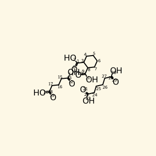 O=C(O)C1CCCCC1C(=O)O.O=C(O)CCCC(=O)O.O=C(O)CCCCC(=O)O